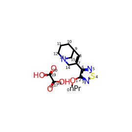 CCCOc1nsnc1C1=CC2CCCN(C1)C2.O=C(O)C(=O)O